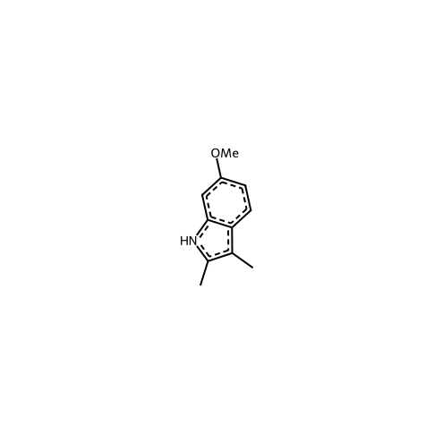 COc1ccc2c(C)c(C)[nH]c2c1